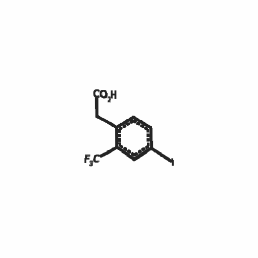 O=C(O)Cc1ccc(I)cc1C(F)(F)F